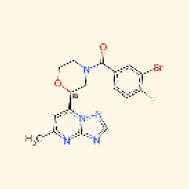 Cc1cc([C@@H]2CN(C(=O)c3ccc(F)c(Br)c3)CCO2)n2ncnc2n1